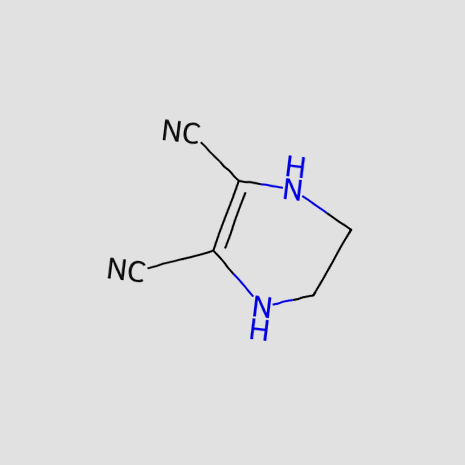 N#CC1=C(C#N)NCCN1